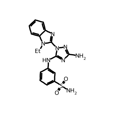 CCn1c(-n2nc(N)nc2Nc2cccc(S(N)(=O)=O)c2)nc2ccccc21